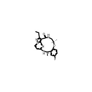 CCc1nn2ccc3nc2c1C(=O)NC[C@H](C)Oc1ccc(F)cc1[C@@H](C)N3